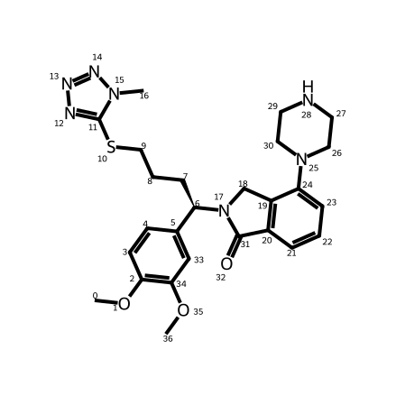 COc1ccc([C@@H](CCCSc2nnnn2C)N2Cc3c(cccc3N3CCNCC3)C2=O)cc1OC